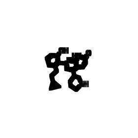 O=c1ccc2c(C3CCCNC3)cc(-c3c(O)cccc3CCC3CC3)nc2[nH]1